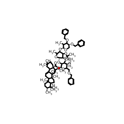 COC1C[C@]2(C)C(=CCC3C4(C)CC[C@H](C)C(C)(C)[C@@H]4CC[C@@]32C)C2CC(C)(C)CC[C@]12C(=O)O[C@@H]1OC(COCc2ccccc2)[C@H](N)C(C)C1O[C@@H]1OC(C)[C@H](O[C@@H]2OC[C@@H](OCc3ccccc3)C(OCc3ccccc3)C2C)C2OC(C)(C)OC21